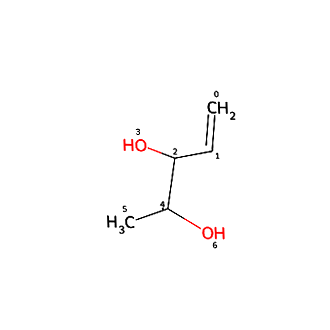 C=CC(O)[C](C)O